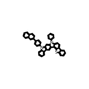 c1ccc(-n2c3cc4c(cc3c3c5sc6ccccc6c5ccc32)c2ccccc2n4-c2ccc(-c3ccc4ccccc4c3)cc2)cc1